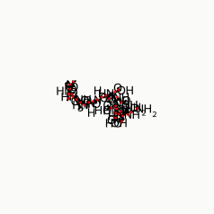 CCC(=O)N1CCC[C@H]1C(=O)N[C@@H](CC(C)C)C(=O)NCC(=O)N[C@@H](CSC)C(=O)N[C@@H](C)C(=O)NCC(=O)NCCOCC(=O)N[C@H](CCC(=O)O)C(=O)N[C@H](CCC(=O)O)C(=O)N[C@H](CCC(=O)O)C(=O)N[C@H](CCC(=O)O)C(=O)N[C@H](CCC(=O)O)C(=O)N[C@H](CCCCN)C(N)=O